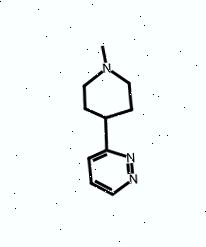 CN1CCC(c2cccnn2)CC1